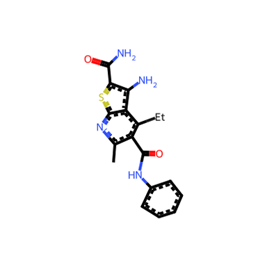 CCc1c(C(=O)Nc2ccccc2)c(C)nc2sc(C(N)=O)c(N)c12